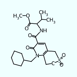 COC(=O)C(NC(=O)c1cc2c(n(CC3CCCCC3)c1=O)CCS(=O)(=O)C2)C(C)C